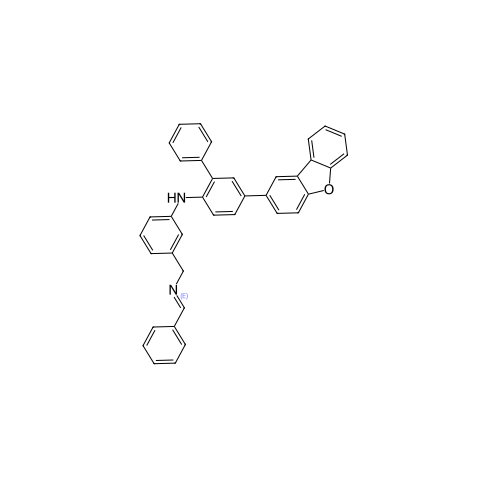 C(=N\Cc1cccc(Nc2ccc(-c3ccc4oc5ccccc5c4c3)cc2-c2ccccc2)c1)/c1ccccc1